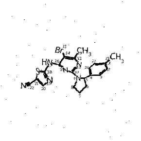 Cc1ccc(C2CCCN2c2nc(C)c(Br)c(Nc3ncc(C#N)s3)n2)cc1